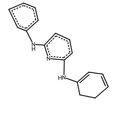 C1=CCCC(Nc2cccc(Nc3ccccc3)n2)=C1